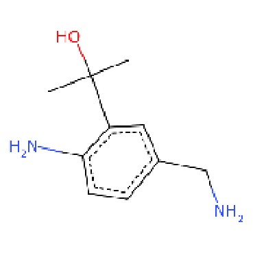 CC(C)(O)c1cc(CN)ccc1N